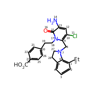 CCc1cccc2c1N(Cc1c(Cl)cc(N)c(=O)n1CCc1ccc(C(=O)O)cc1)CC2